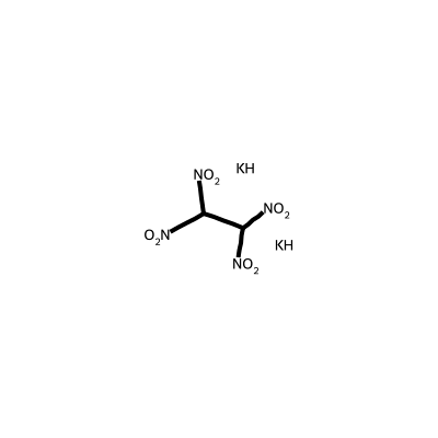 O=[N+]([O-])C(C([N+](=O)[O-])[N+](=O)[O-])[N+](=O)[O-].[KH].[KH]